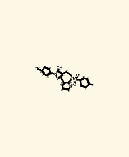 Cc1ccc(S(=O)(=O)N2CCc3c(nn(-c4ccc(Cl)cc4)c3O)-c3cccnc32)cc1